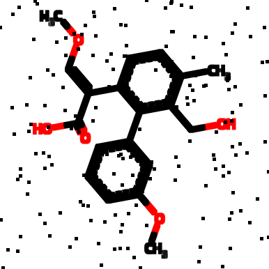 CO/C=C(/C(=O)O)c1ccc(C)c(CO)c1-c1cccc(OC)c1